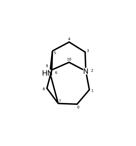 C1CN2CCC3NC1CC3C2